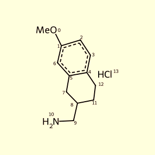 COc1ccc2c(c1)CC(CN)CC2.Cl